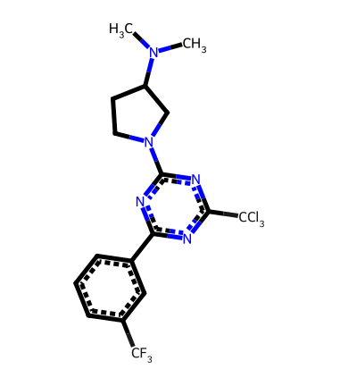 CN(C)C1CCN(c2nc(-c3cccc(C(F)(F)F)c3)nc(C(Cl)(Cl)Cl)n2)C1